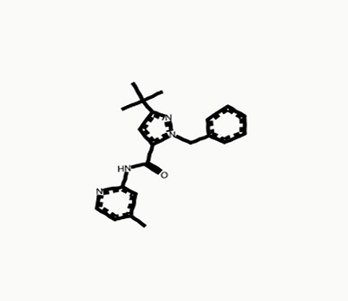 Cc1ccnc(NC(=O)c2cc(C(C)(C)C)nn2Cc2ccccc2)c1